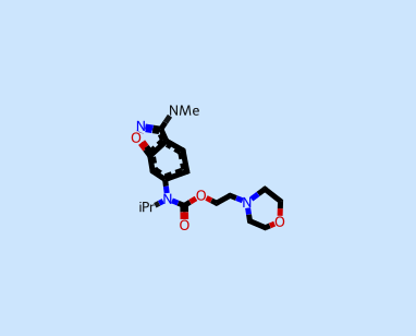 CNc1noc2cc(N(C(=O)OCCN3CCOCC3)C(C)C)ccc12